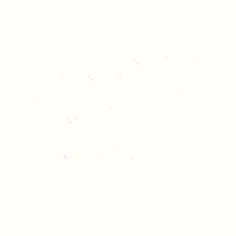 C[C@@H](O)C(NC(=O)c1nccc2ccccc12)C(=O)N1CCCC1C(=O)NC(C=O)CC(=O)O